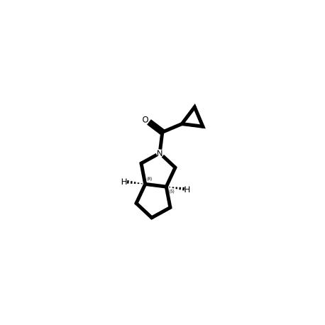 O=C(C1CC1)N1C[C@H]2CCC[C@H]2C1